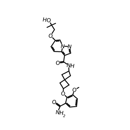 COc1cccc(C(N)=O)c1OC1CC2(CC(NC(=O)c3cnn4cc(OCC(C)(C)O)ccc34)C2)C1